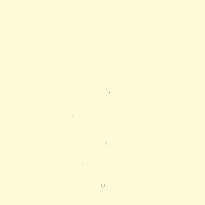 CCOC(=O)c1c(CNCC(=O)OC)c2ccccc2n1Cc1csc2ccc(F)cc12